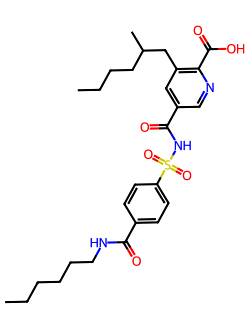 CCCCCCNC(=O)c1ccc(S(=O)(=O)NC(=O)c2cnc(C(=O)O)c(CC(C)CCCC)c2)cc1